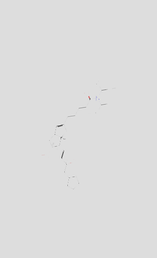 CC(C)N(C(=O)CCCCC1=CC2C[C@@H](O)[C@H](/C=C/[C@@H](O)CC3CCCC3)[C@H]2C1)C(C)C